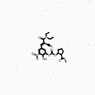 CCN(CC)C(=O)/C(C#N)=C/c1cc(OC(=O)OC2CCCC2C(=O)OC)c(O)c([N+](=O)[O-])c1